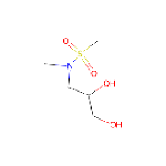 CN(CC(O)CO)S(C)(=O)=O